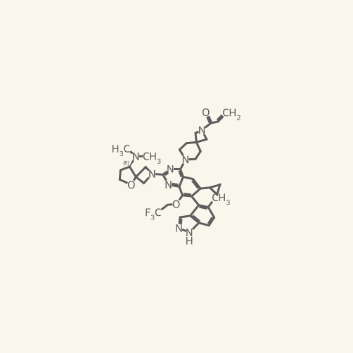 C=CC(=O)N1CC2(CCN(c3nc(N4CC5(C4)OCC[C@H]5N(C)C)nc4c(OCC(F)(F)F)c(-c5c(C)ccc6[nH]ncc56)c(C5CC5)cc34)CC2)C1